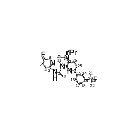 C=C(Nc1ccc(F)cn1)N(C)c1nc(-c2cccc(C(C)(C)F)c2)ccc1N(C)CCC